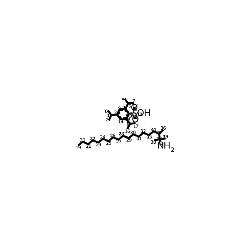 CC(C)c1cc(C(C)C)c(S(=O)(=O)O)c(C(C)C)c1.CCCCCCCCCCCCCCCCC(C)C(C)(C)N